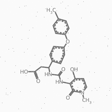 Cc1ccc(Oc2ccc(C(CC(=O)O)NC(=O)Nc3c(O)ccn(C)c3=O)cc2)cc1